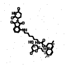 C[C@H]1C=C2C=C[C@H](C)[C@H](CC[C@@H]3C[C@@H](O)CC(=O)O3)[C@H]2[C@@H](OC(=O)NCCCCCCNc2cccc3c2C(=O)N(C2CCC(=O)NC2=O)C3=O)C1